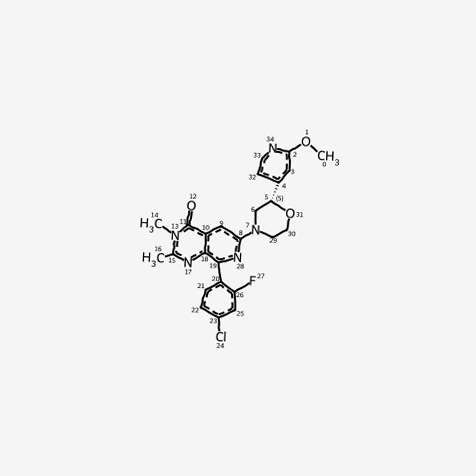 COc1cc([C@H]2CN(c3cc4c(=O)n(C)c(C)nc4c(-c4ccc(Cl)cc4F)n3)CCO2)ccn1